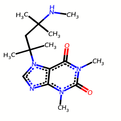 CNC(C)(C)CC(C)(C)n1cnc2c1c(=O)n(C)c(=O)n2C